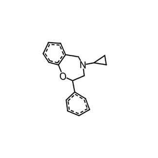 c1ccc(C2CN(C3CC3)Cc3ccccc3O2)cc1